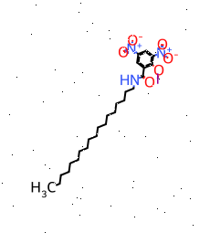 CCCCCCCCCCCCCCCCCCNC(=O)c1cc([N+](=O)[O-])cc([N+](=O)[O-])c1OI